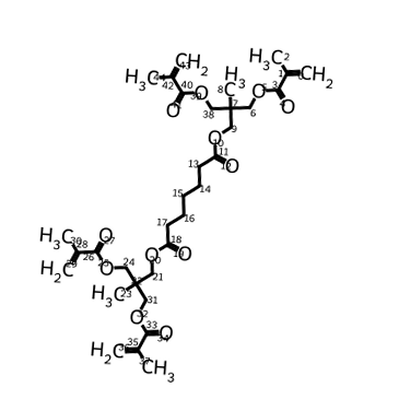 C=C(C)C(=O)OCC(C)(COC(=O)CCCCCC(=O)OCC(C)(COC(=O)C(=C)C)COC(=O)C(=C)C)COC(=O)C(=C)C